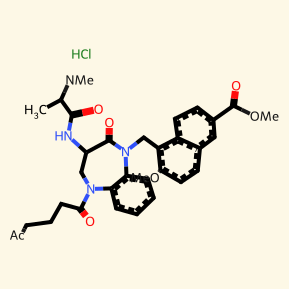 CNC(C)C(=O)NC1CN(C(=O)CCCC(C)=O)c2ccccc2N(Cc2c(OC)ccc3cc(C(=O)OC)ccc23)C1=O.Cl